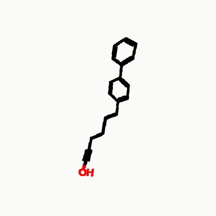 OC#CCCCCc1ccc(-c2ccccc2)cc1